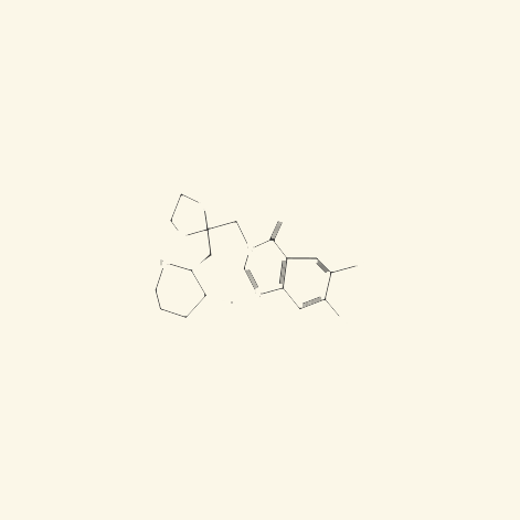 O=c1c2cc(Cl)c(Br)cc2ncn1CC1(C[C@@H]2NCCC[C@H]2O)OCCO1